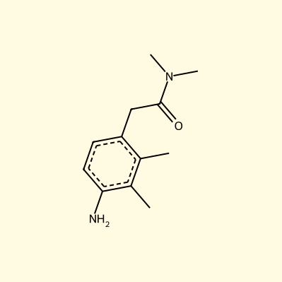 Cc1c(N)ccc(CC(=O)N(C)C)c1C